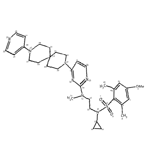 COc1cc(C)c(S(=O)(=O)N(CCN(C)c2nccc(N3CCC4(CCN(c5ccncc5)CC4)CC3)n2)C2CC2)c(C)c1